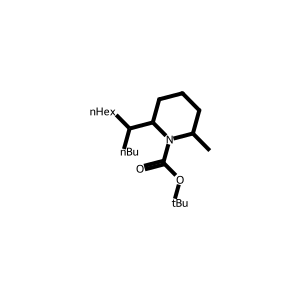 CCCCCCC(CCCC)C1CCCC(C)N1C(=O)OC(C)(C)C